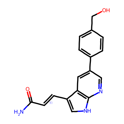 NC(=O)/C=C/c1c[nH]c2ncc(-c3ccc(CO)cc3)cc12